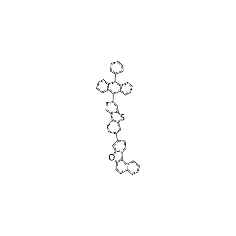 c1ccc(-c2c3ccccc3c(-c3ccc4c(c3)sc3cc(-c5ccc6c(c5)oc5ccc7ccccc7c56)ccc34)c3ccccc23)cc1